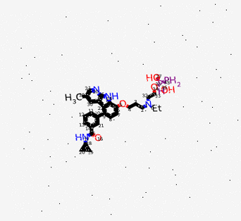 CCN(CCCOc1ccc(-c2cccc(C(=O)NC3CC3)c2)c2c1[nH]c1ncc(C)cc12)CCO[PH](O)(O)P